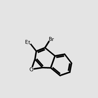 CCc1c2c(c3ccccc3c1Br)O2